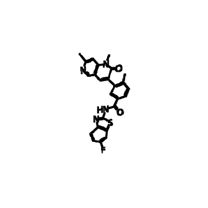 Cc1cc2c(cn1)cc(-c1cc(C(=O)Nc3nc4ccc(F)cc4s3)ccc1C)c(=O)n2C